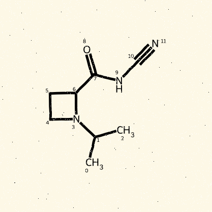 CC(C)N1CCC1C(=O)NC#N